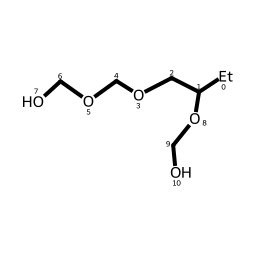 CCC(COCOCO)OCO